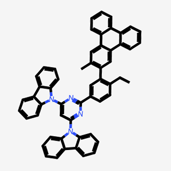 CCc1ccc(-c2nc(-n3c4ccccc4c4ccccc43)cc(-n3c4ccccc4c4ccccc43)n2)cc1-c1cc2c3ccccc3c3ccccc3c2cc1C